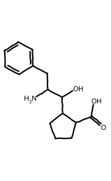 NC(Cc1ccccc1)C(O)C1CCCC1C(=O)O